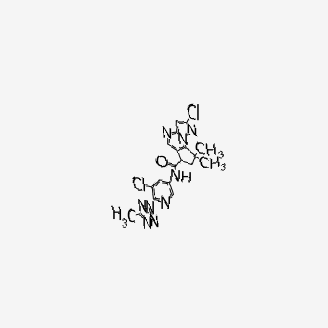 Cc1nnn(-c2ncc(NC(=O)C3CC(C)(C)c4c3cnc3cc(Cl)nn43)cc2Cl)n1